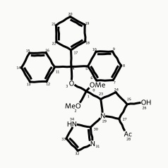 COC(OC)(OC(c1ccccc1)(c1ccccc1)c1ccccc1)C1CC(O)C(C(C)=O)N1c1ncc[nH]1